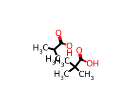 CC(C)(C)C(=O)O.CC(C)C(=O)O